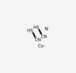 N#CS.N#CS.[Co].[N]